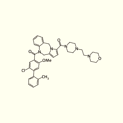 COc1cc(-c2ccccc2C)c(Cl)cc1C(=O)N1Cc2ccc(C(=O)N3CCN(CCN4CCOCC4)CC3)n2Cc2ccccc21